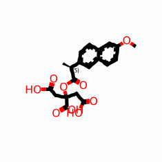 COc1ccc2cc([C@H](C)C(=O)OC(CC(=O)O)(CC(=O)O)C(=O)O)ccc2c1